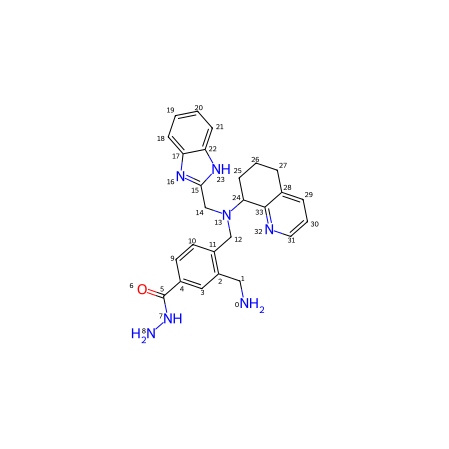 NCc1cc(C(=O)NN)ccc1CN(Cc1nc2ccccc2[nH]1)C1CCCc2cccnc21